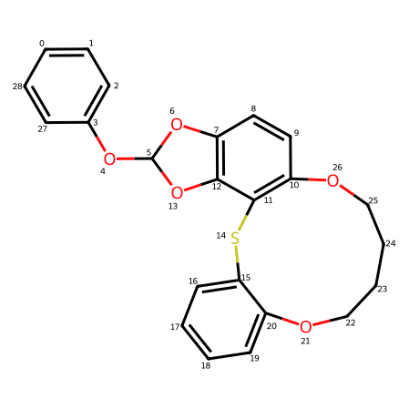 c1ccc(OC2Oc3ccc4c(c3O2)Sc2ccccc2OCCCCO4)cc1